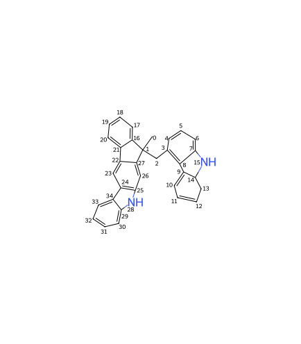 CC1(Cc2cccc3c2C2=CC=CCC2N3)c2ccccc2-c2cc3c(cc21)[nH]c1ccccc13